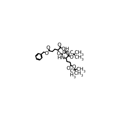 CC(C)(C)OC(=O)CCC(NC(=O)OC(CCC(=O)OCc1ccccc1)C(=O)O)C(=O)OC(C)(C)C